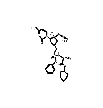 C[C@H](NP(=O)(OC[C@H]1O[C@@H](n2ccc(N)nc2=O)[C@](C)(N=[N+]=[N-])[C@@H]1O)Oc1ccccc1)C(=O)OC1CCCCC1